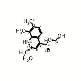 Cc1ccc2c(c1C)NN(C)C=C2[PH](=O)OCO.O